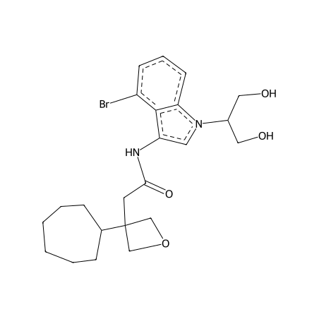 O=C(CC1(C2CCCCCC2)COC1)Nc1cn(C(CO)CO)c2cccc(Br)c12